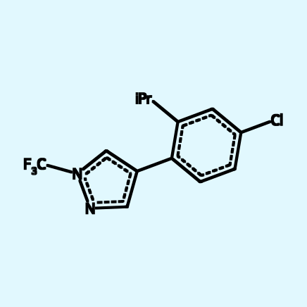 CC(C)c1cc(Cl)ccc1-c1cnn(C(F)(F)F)c1